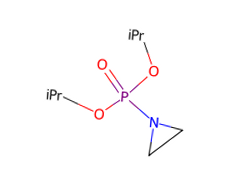 CC(C)OP(=O)(OC(C)C)N1CC1